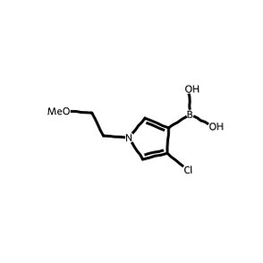 COCCn1cc(Cl)c(B(O)O)c1